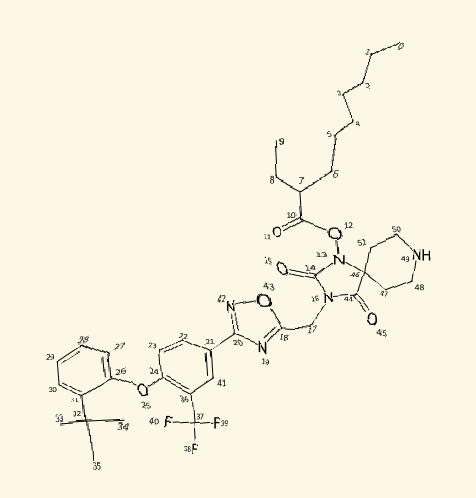 CCCCCCCC(CC)C(=O)ON1C(=O)N(Cc2nc(-c3ccc(Oc4ccccc4C(C)(C)C)c(C(F)(F)F)c3)no2)C(=O)C12CCNCC2